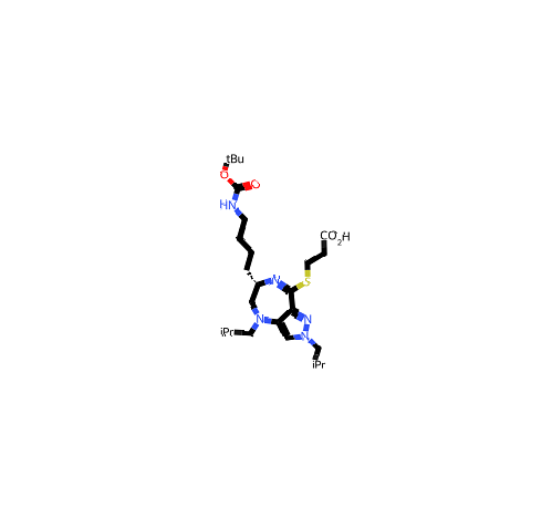 CC(C)CN1C[C@H](CCCCNC(=O)OC(C)(C)C)N=C(SCCC(=O)O)c2nn(CC(C)C)cc21